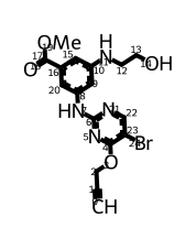 C#CCOc1nc(Nc2cc(NCCO)cc(C(=O)OC)c2)ncc1Br